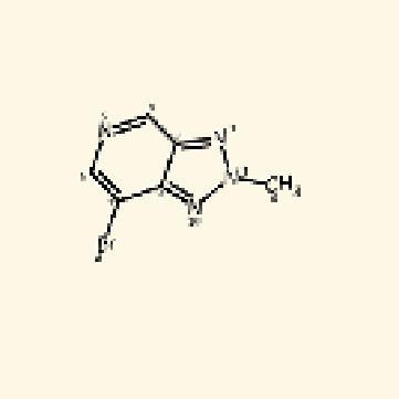 Cn1nc2cncc(Br)c2n1